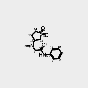 CN(CC(=O)Nc1cc[c]cc1)C1CCS(=O)(=O)C1